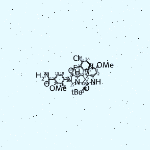 COc1cc2c(cn1)[C@@]1(C(=O)N2)[C@H](CC(C)(C)C)N2CN(c3ccc(C(N)=O)cc3OC)C(=O)[C@H]2[C@@H]1c1cccc(Cl)c1F